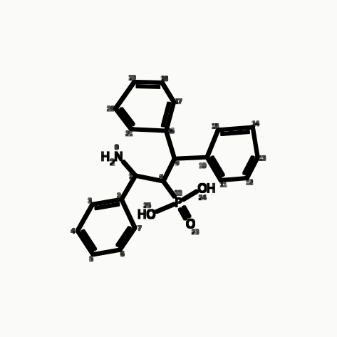 NC(c1ccccc1)C(C(c1ccccc1)c1ccccc1)P(=O)(O)O